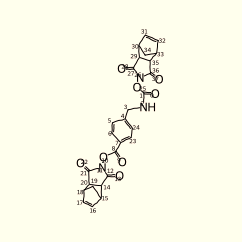 O=C(NCc1ccc(C(=O)ON2C(=O)C3C4C=CC(C4)C3C2=O)cc1)ON1C(=O)C2C3C=CC(C3)C2C1=O